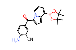 CC1(C)OB(c2cccn3c(C(=O)c4ccc(N)c(C#N)c4)ccc23)OC1(C)C